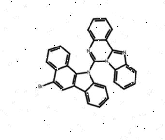 Brc1cc2c3ccccc3n(-c3nc4ccccc4c4nc5ccccc5n34)c2c2ccccc12